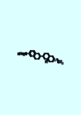 C=C[C@@H]1CC[C@@H]2CC(C3CCc4cc(CCCCCCC)ccc4C3)CCC2C1